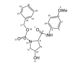 COc1ccc(NC(=O)C2CC(O)CN2C(=O)OCc2ccccc2)cc1